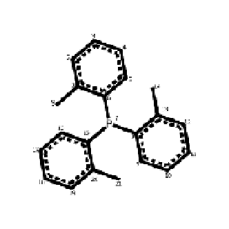 [CH2]c1ccccc1P(c1ccccc1C)c1ccccc1C